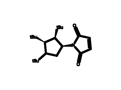 CC(C)(C)C1C[C@H](N2C(=O)C=CC2=O)[C@H](C(C)(C)C)[C@H]1C(C)(C)C